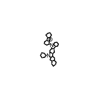 c1ccc(-n2c3cc4ccccc4cc3c3cc4c5ccccc5n(-c5cccc6c5oc5ccccc56)c4cc32)cc1